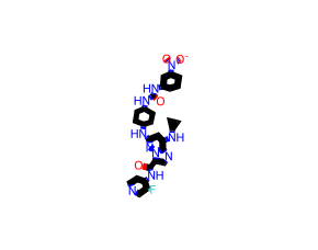 O=C(Nc1cccc([N+](=O)[O-])c1)NC1CCC(Nc2cc(NC3CC3)c3ncc(C(=O)Nc4ccncc4F)n3n2)CC1